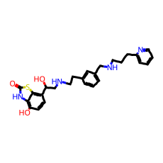 O=c1[nH]c2c(O)ccc(C(O)CNCCc3cccc(CNCCCc4ccccn4)c3)c2s1